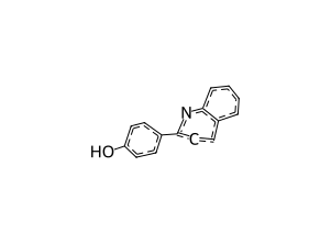 Oc1ccc(-c2ccc3ccccc3n2)cc1